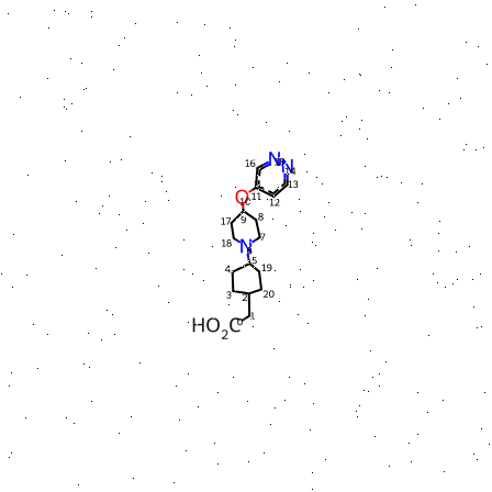 O=C(O)CC1CCC(N2CCC(Oc3ccnnc3)CC2)CC1